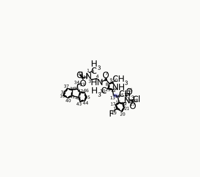 CCN(CCNC(=O)c1c(C)[nH]c(/C=C(\C)c2cc(F)ccc2N(C=O)C(=O)Cl)c1C)C(=O)OCC1c2ccccc2-c2ccccc21